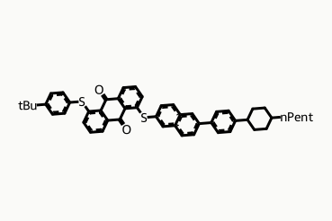 CCCCCC1CCC(c2ccc(-c3ccc4cc(Sc5cccc6c5C(=O)c5cccc(Sc7ccc(C(C)(C)C)cc7)c5C6=O)ccc4c3)cc2)CC1